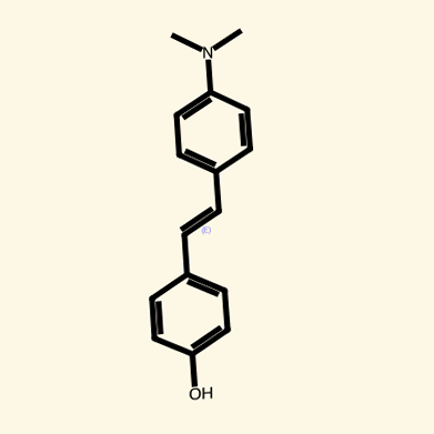 CN(C)c1ccc(/C=C/c2ccc(O)cc2)cc1